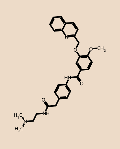 COc1ccc(C(=O)Nc2ccc(CC(=O)NCCN(C)C)cc2)cc1OCc1ccc2ccccc2n1